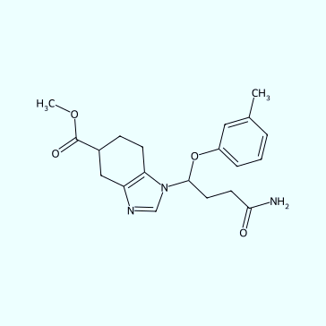 COC(=O)C1CCc2c(ncn2C(CCC(N)=O)Oc2cccc(C)c2)C1